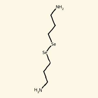 NCCC[Se][Se]CCCN